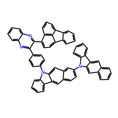 c1ccc2c(c1)-c1cccc3c(-c4nc5ccccc5nc4-c4ccc(-n5c6ccccc6c6cc7ccc(-n8c9ccccc9c9cc%10ccccc%10cc98)cc7cc65)cc4)ccc-2c13